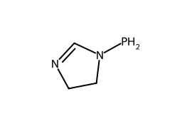 PN1C=NCC1